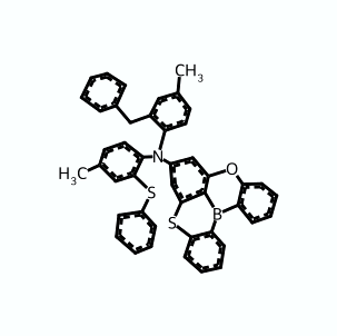 Cc1ccc(N(c2cc3c4c(c2)Sc2ccccc2B4c2ccccc2O3)c2ccc(C)cc2Sc2ccccc2)c(Cc2ccccc2)c1